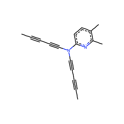 CC#CC#CN(C#CC#CC)c1ccc(C)c(C)n1